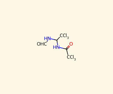 O=CNC(NC(=O)C(Cl)(Cl)Cl)C(Cl)(Cl)Cl